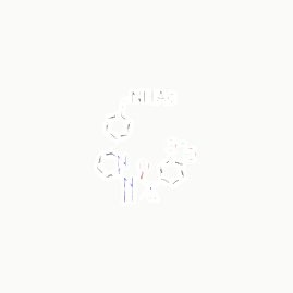 CC(=O)NCc1ccc(-c2cccc(NC(=O)C3(c4ccc5c(c4)OCO5)CC3)n2)cc1